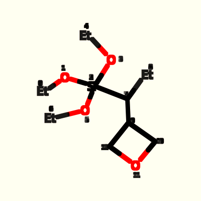 CCO[Si](OCC)(OCC)C(CC)C1COC1